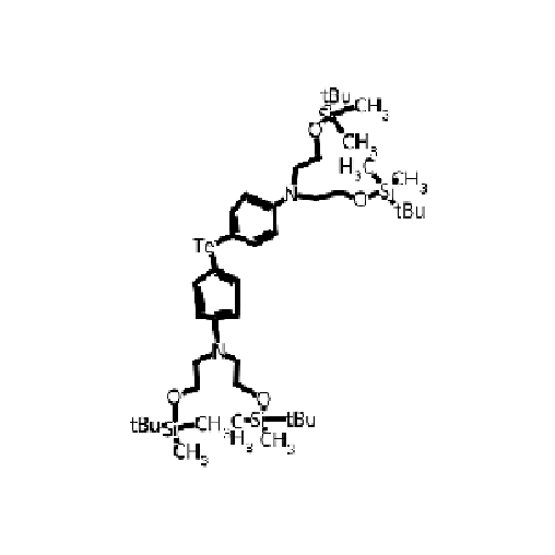 CC(C)(C)[Si](C)(C)OCCN(CCO[Si](C)(C)C(C)(C)C)c1ccc([Te]c2ccc(N(CCO[Si](C)(C)C(C)(C)C)CCO[Si](C)(C)C(C)(C)C)cc2)cc1